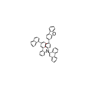 c1cc(-c2ccccc2N(c2ccc(-c3ccc4c(c3)oc3ccccc34)cc2)c2cc3ccccc3c3ccccc23)cc(-c2cccc3ccccc23)c1